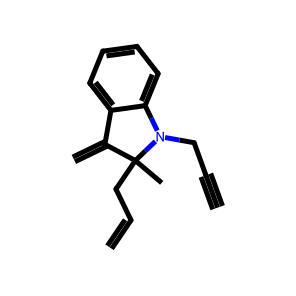 C#CCN1c2ccccc2C(=C)C1(C)CC=C